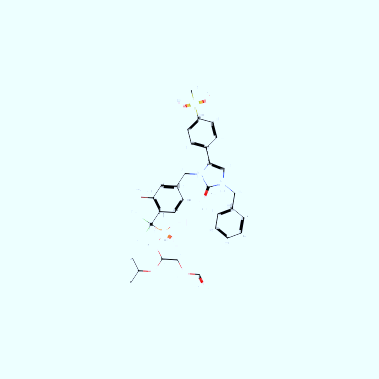 CC(C)OC(COC=O)OP(=O)(O)C(F)(F)c1ccc(Cn2c(-c3ccc(S(C)(=O)=O)cc3)cn(Cc3ccccc3)c2=O)cc1Br